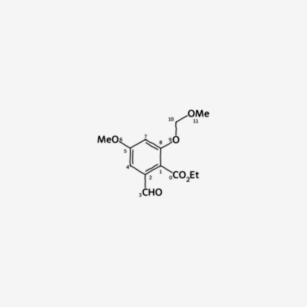 CCOC(=O)c1c(C=O)cc(OC)cc1OCOC